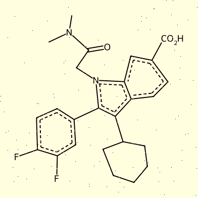 CN(C)C(=O)Cn1c(-c2ccc(F)c(F)c2)c(C2CCCCC2)c2ccc(C(=O)O)cc21